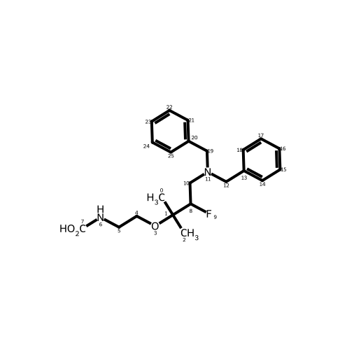 CC(C)(OCCNC(=O)O)C(F)CN(Cc1ccccc1)Cc1ccccc1